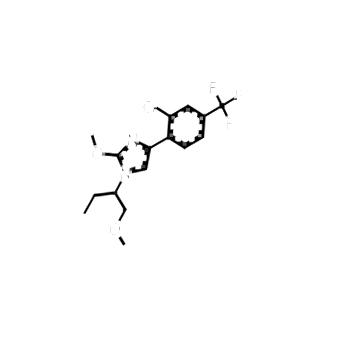 CCC(COC)n1cc(-c2ccc(C(F)(F)F)cc2Cl)nc1OC